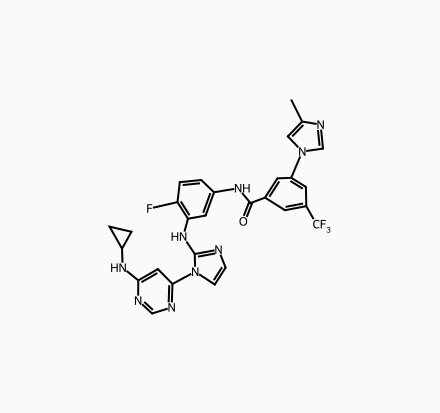 Cc1cn(-c2cc(C(=O)Nc3ccc(F)c(Nc4nccn4-c4cc(NC5CC5)ncn4)c3)cc(C(F)(F)F)c2)cn1